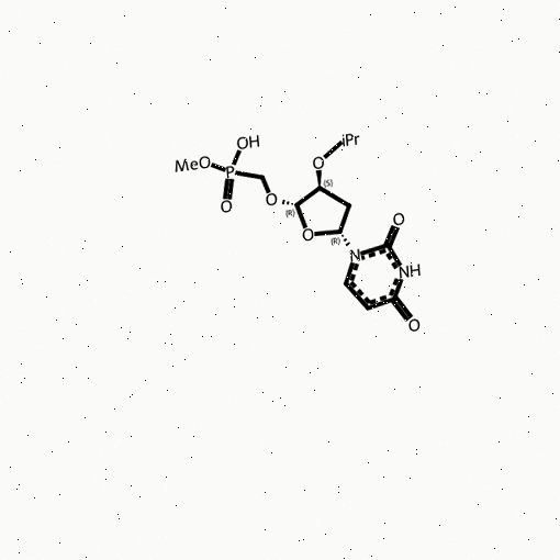 COP(=O)(O)CO[C@H]1O[C@@H](n2ccc(=O)[nH]c2=O)C[C@@H]1OC(C)C